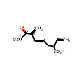 C=CC(CC=CC(=C)C(=O)OC)C(=O)O